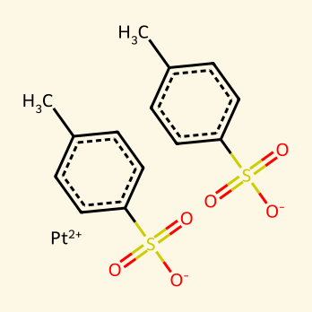 Cc1ccc(S(=O)(=O)[O-])cc1.Cc1ccc(S(=O)(=O)[O-])cc1.[Pt+2]